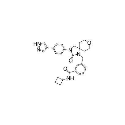 O=C(NC1CCC1)c1cccc(CN2C(=O)N(c3ccc(-c4cn[nH]c4)cc3)CC23CCOCC3)c1